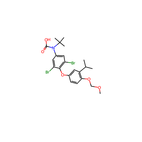 COCOc1ccc(Oc2c(Br)cc(N(C(=O)O)C(C)(C)C)cc2Br)cc1C(C)C